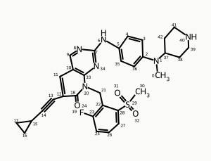 CN(c1ccc(Nc2ncc3cc(C#CC4CC4)c(=O)n(Cc4c(F)cccc4S(C)(=O)=O)c3n2)cc1)C1CCNCC1